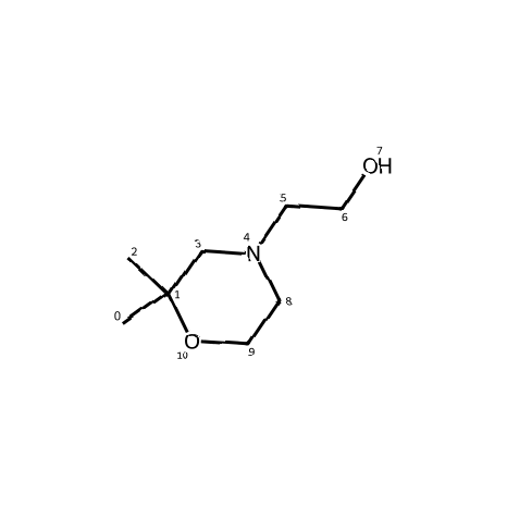 CC1(C)CN(CCO)CCO1